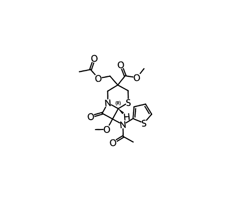 COC(=O)C1(COC(C)=O)CS[C@H]2N(C1)C(=O)C2(OC)N(C(C)=O)c1cccs1